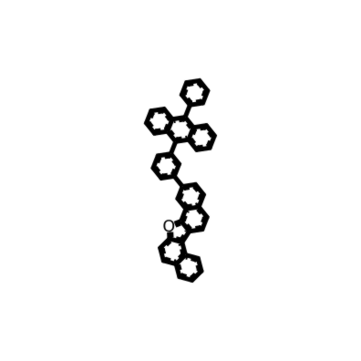 c1ccc(-c2c3ccccc3c(-c3cccc(-c4ccc5ccc6c(oc7ccc8ccccc8c76)c5c4)c3)c3ccccc23)cc1